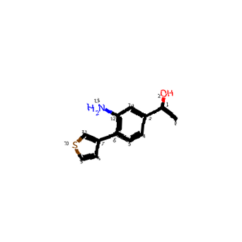 CC(O)c1ccc(-c2ccsc2)c(N)c1